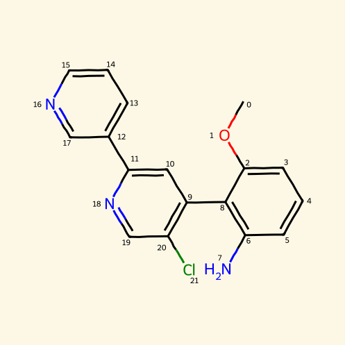 COc1cccc(N)c1-c1cc(-c2cccnc2)ncc1Cl